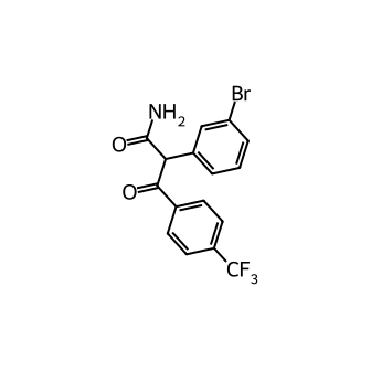 NC(=O)C(C(=O)c1ccc(C(F)(F)F)cc1)c1cccc(Br)c1